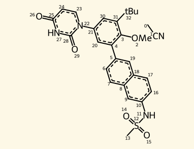 CC#N.COc1c(-c2ccc3cc(NS(C)(=O)=O)ccc3c2)cc(-n2ccc(=O)[nH]c2=O)cc1C(C)(C)C